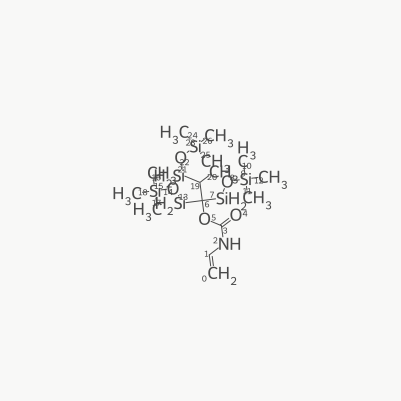 C=CNC(=O)OC([SiH2]O[Si](C)(C)C)([SiH2]O[Si](C)(C)C)C(C)[SiH2]O[Si](C)(C)C